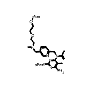 C=C(C)N(Cc1ccc(CN(C)CCOCCOCCCCCCCCC)cn1)c1nc(CCCCC)nc(N)c1C